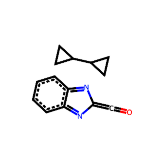 C1CC1C1CC1.O=C=C1N=c2ccccc2=N1